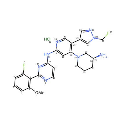 COc1cccc(F)c1-c1nccc(Nc2cc(N3CCC[C@H](N)C3)c(-c3cnn(CF)c3)cn2)n1.Cl